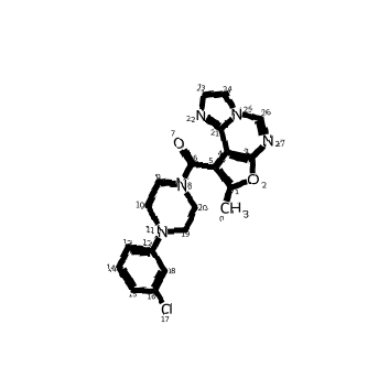 Cc1oc2c(c1C(=O)N1CCN(c3cccc(Cl)c3)CC1)C1=NCCN1C=N2